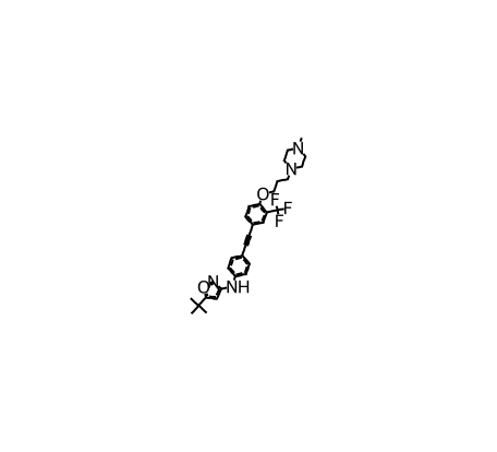 CN1CCN(CCCOc2ccc(C#Cc3ccc(Nc4cc(C(C)(C)C)on4)cc3)cc2C(F)(F)F)CC1